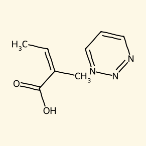 CC=C(C)C(=O)O.c1cnnnc1